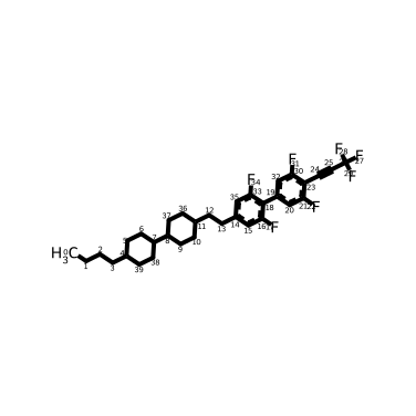 CCCCC1CCC(C2CCC(CCc3cc(F)c(-c4cc(F)c(C#CC(F)(F)F)c(F)c4)c(F)c3)CC2)CC1